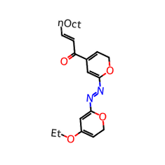 CCCCCCCCC=CC(=O)C1=CCOC(N=NC2=CC(OCC)=CCO2)=C1